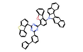 c1ccc(-c2cccc(-c3nc(-c4ccc(-n5c6cc7ccccc7cc6c6c7ccccc7ccc65)c5c4oc4ccccc45)nc(-c4cccc5sc6ccccc6c45)n3)c2)cc1